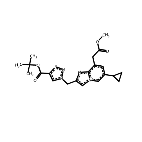 COC(=O)Cc1cc(C2CC2)cn2cc(Cn3cc(C(=O)OC(C)(C)C)nn3)nc12